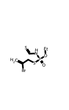 C=C(Br)CSP(=O)(NC=S)OCC